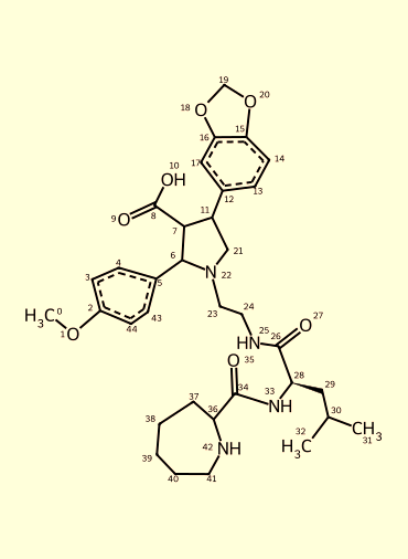 COc1ccc(C2C(C(=O)O)C(c3ccc4c(c3)OCO4)CN2CCNC(=O)[C@@H](CC(C)C)NC(=O)C2CCCCCN2)cc1